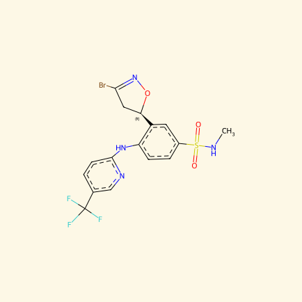 CNS(=O)(=O)c1ccc(Nc2ccc(C(F)(F)F)cn2)c([C@H]2CC(Br)=NO2)c1